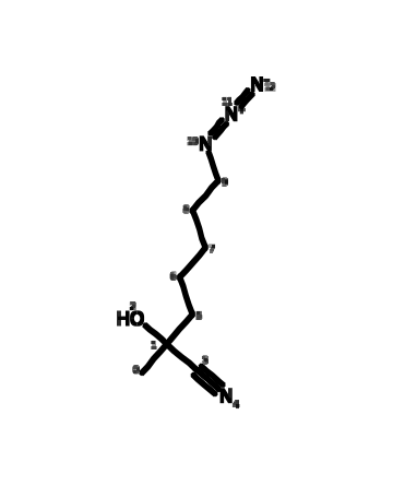 CC(O)(C#N)CCCCCN=[N+]=[N-]